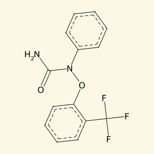 NC(=O)N(Oc1ccccc1C(F)(F)F)c1ccccc1